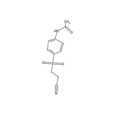 CC(=O)Nc1ccc(S(=O)(=O)CCC#N)cc1